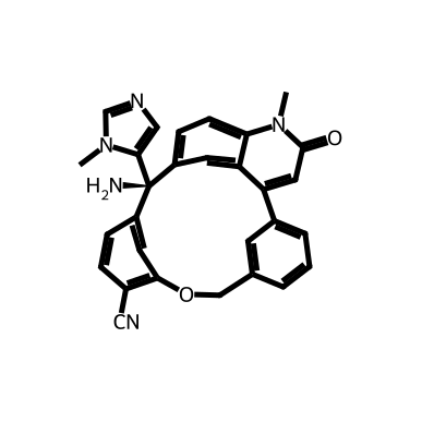 Cn1cncc1[C@@]1(N)c2ccc(C#N)c(c2)OCc2cccc(c2)-c2cc(=O)n(C)c3ccc1cc23